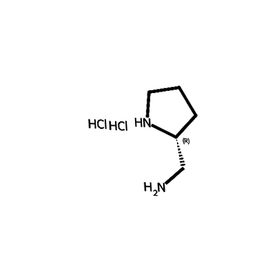 Cl.Cl.NC[C@H]1CCCN1